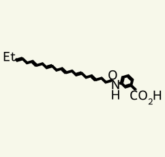 CCC=CCC=CCC=CCC=CCC=CCC=CCCC(=O)Nc1cccc(CC(=O)O)c1